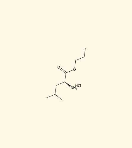 CCCOC(=O)[C@@H](N)CC(C)C.Cl